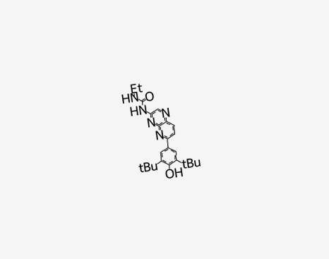 CCNC(=O)Nc1cnc2ccc(-c3cc(C(C)(C)C)c(O)c(C(C)(C)C)c3)nc2n1